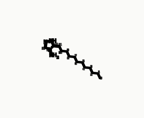 CCCCCCCCCCCC=C1NN=CN1N